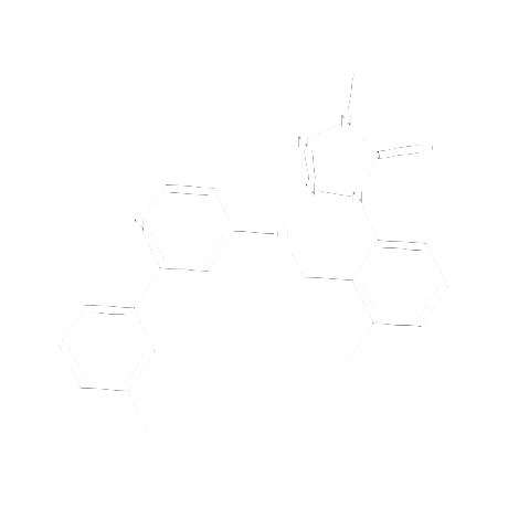 Cc1cccc(-c2cc(OCc3c(C)cccc3-n3nnn(C)c3=O)ccn2)c1